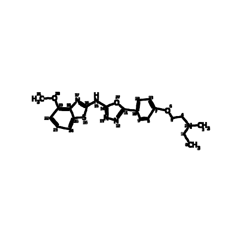 CCN(C)CCOc1ccc(-c2nnc(Nc3nc4c(OC)cccc4s3)o2)cc1